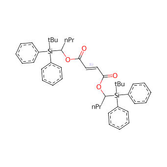 CCCC(OC(=O)/C=C/C(=O)OC(CCC)[Si](c1ccccc1)(c1ccccc1)C(C)(C)C)[Si](c1ccccc1)(c1ccccc1)C(C)(C)C